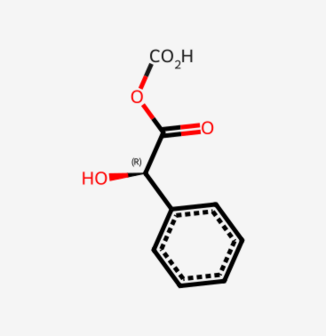 O=C(O)OC(=O)[C@H](O)c1ccccc1